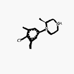 Cc1cc(N2CCNC[C@@H]2C)cc(C)c1Cl